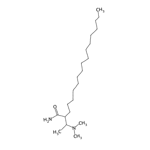 CCCCCCCCCCCCCCCCC(C(N)=O)C(C)N(C)C